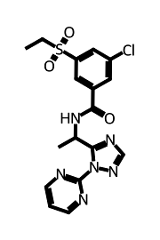 CCS(=O)(=O)c1cc(Cl)cc(C(=O)NC(C)c2ncnn2-c2ncccn2)c1